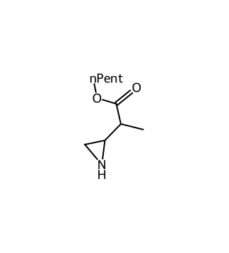 CCCCCOC(=O)C(C)C1CN1